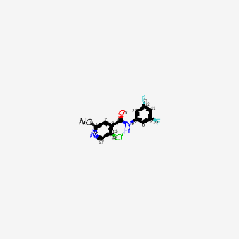 N#Cc1cc(C(=O)Nc2cc(F)cc(F)c2)c(Cl)cn1